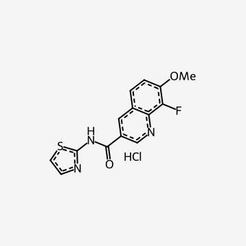 COc1ccc2cc(C(=O)Nc3nccs3)cnc2c1F.Cl